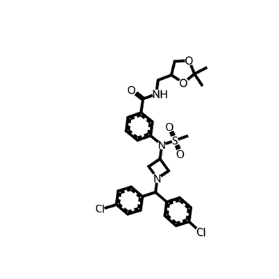 CC1(C)OCC(CNC(=O)c2cccc(N(C3CN(C(c4ccc(Cl)cc4)c4ccc(Cl)cc4)C3)S(C)(=O)=O)c2)O1